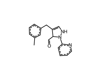 Cc1cccc(CC2=CNN(c3ccccn3)C2C=O)c1